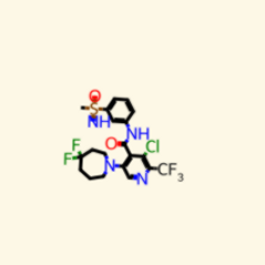 CS(=N)(=O)c1cccc(NC(=O)c2c(N3CCCC(F)(F)CC3)cnc(C(F)(F)F)c2Cl)c1